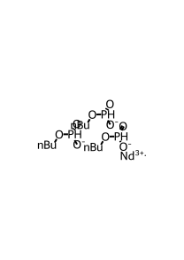 CCCCO[PH](=O)[O-].CCCCO[PH](=O)[O-].CCCCO[PH](=O)[O-].[Nd+3]